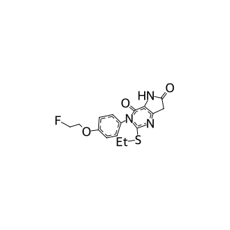 CCSc1nc2c(c(=O)n1-c1ccc(OCCF)cc1)NC(=O)C2